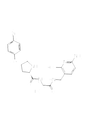 Cc1nc(N)ccc1CNC(=O)[C@H](C)NC(=O)[C@H]1C[C@H](Oc2ccc(Br)cc2)CN1